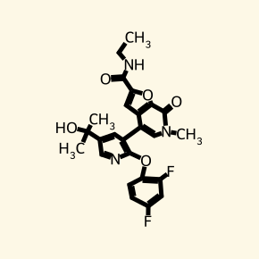 CCNC(=O)c1cc2c(-c3cc(C(C)(C)O)cnc3Oc3ccc(F)cc3F)cn(C)c(=O)c2o1